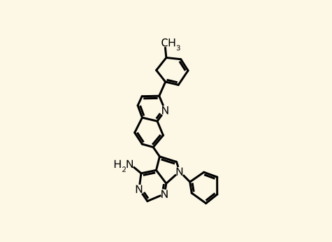 CC1C=CC=C(c2ccc3ccc(-c4cn(-c5ccccc5)c5ncnc(N)c45)cc3n2)C1